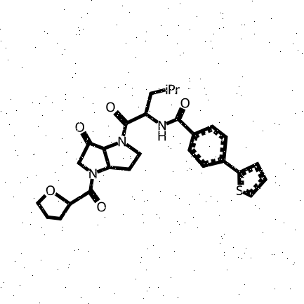 CC(C)CC(NC(=O)c1ccc(-c2cccs2)cc1)C(=O)N1CCC2C1C(=O)CN2C(=O)C1CCCO1